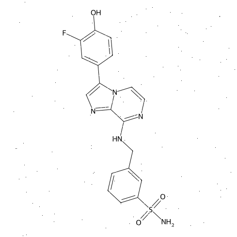 NS(=O)(=O)c1cccc(CNc2nccn3c(-c4ccc(O)c(F)c4)cnc23)c1